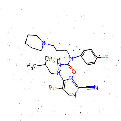 CC(C)CN(NC(=O)N(CCCN1CCCCC1)c1ccc(F)cc1)c1nc(C#N)ncc1Br